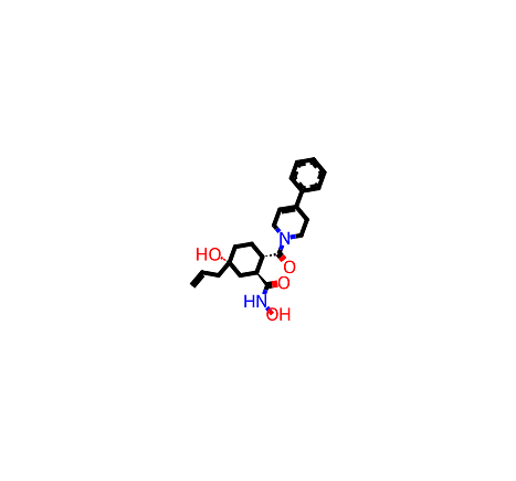 C=CC[C@@]1(O)CC[C@H](C(=O)N2CC=C(c3ccccc3)CC2)[C@@H](C(=O)NO)C1